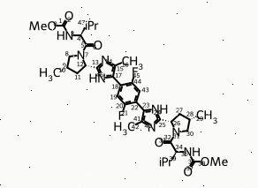 COC(=O)N[C@H](C(=O)N1C[C@@H](C)C[C@H]1c1nc(C)c(-c2cc(F)c(-c3[nH]c([C@@H]4C[C@H](C)CN4C(=O)[C@@H](NC(=O)OC)C(C)C)nc3C)cc2F)[nH]1)C(C)C